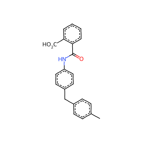 Cc1ccc(Cc2ccc(NC(=O)c3ccccc3C(=O)O)cc2)cc1